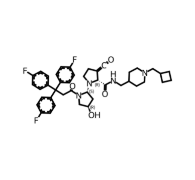 O=C=C1CCN([C@@H]2C[C@@H](O)CN2C(=O)CC(c2ccc(F)cc2)(c2ccc(F)cc2)c2ccc(F)cc2)[C@H]1C(=O)NCC1CCN(CC2CCC2)CC1